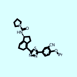 CC(C)Oc1ccc(-c2nnc(C3=C4CC[C@H](NC(=O)N5CCCC5)C4=CCC3)s2)cc1C#N